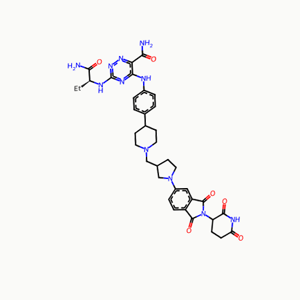 CC[C@H](Nc1nnc(C(N)=O)c(Nc2ccc(C3CCN(CC4CCN(c5ccc6c(c5)C(=O)N(C5CCC(=O)NC5=O)C6=O)C4)CC3)cc2)n1)C(N)=O